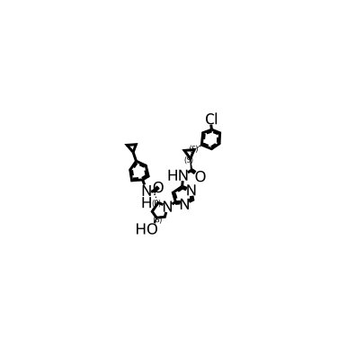 O=C(Nc1cc(N2C[C@@H](O)C[C@@H]2C(=O)Nc2ccc(C3CC3)cc2)ncn1)[C@H]1C[C@@H]1c1cccc(Cl)c1